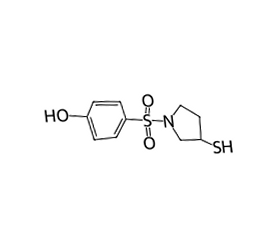 O=S(=O)(c1ccc(O)cc1)N1CCC(S)C1